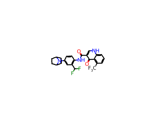 O=C(Nc1ccc(N2C3CCC2CC3)cc1C(F)F)c1c[nH]c2cccc(C(F)(F)F)c2c1=O